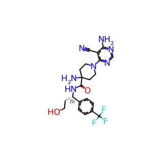 N#Cc1c(N)ncnc1N1CCC(N)(C(=O)N[C@@H](CCO)c2ccc(C(F)(F)F)cc2)CC1